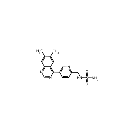 Cc1cc2ncnc(-c3ccc(CNS(N)(=O)=O)nc3)c2cc1C